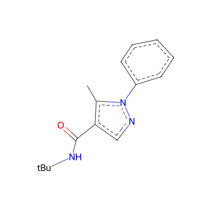 Cc1c(C(=O)NC(C)(C)C)cnn1-c1ccccc1